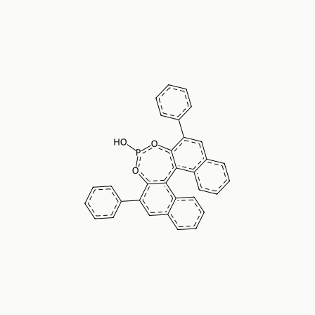 Op1oc2c(-c3ccccc3)cc3ccccc3c2c2c(o1)c(-c1ccccc1)cc1ccccc12